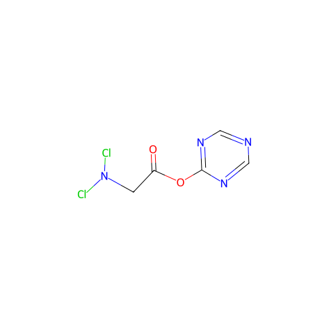 O=C(CN(Cl)Cl)Oc1ncncn1